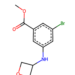 COC(=O)c1cc(Br)cc(NC2COC2)c1